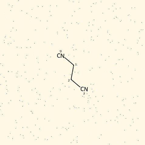 [C-]#[N+]CCC#N